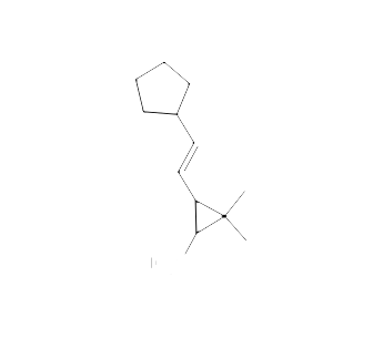 CC1(C)C(C=CC2CCCC2)C1C(=O)O